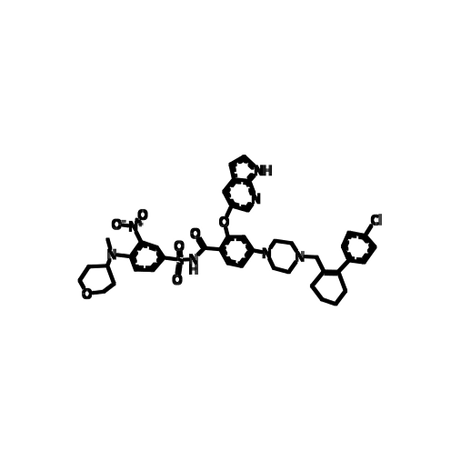 CN(c1ccc(S(=O)(=O)NC(=O)c2ccc(N3CCN(CC4=C(c5ccc(Cl)cc5)CCCC4)CC3)cc2Oc2cnc3[nH]ccc3c2)cc1[N+](=O)[O-])C1CCOCC1